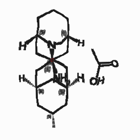 CC(=O)O.C[C@@H]1C[C@@H]2C[C@H](C1)C[C@H](N1[C@@H]3CCC[C@H]1C[C@H](N)C3)C2